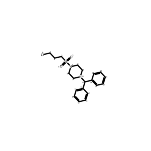 O=S(=O)(CCCCl)N1CCN(C(c2ccccc2)c2ccccc2)CC1